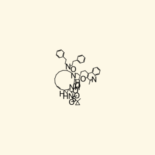 Cc1nc2ccccc2c2c1O[C@]1(CC2)C[C@H]2C(=O)N[C@]3(C(=O)NS(=O)(=O)C4(C)CC4)C[C@H]3C=CCCCCC[C@H](N(CCc3ccccc3)CCc3ccccc3)C(=O)N2C1